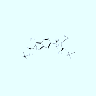 CC(C)(C)OC(=O)N(C1CC1)S(=O)(=O)c1ccc2c(O)n(C(=O)OC(C)(C)C)cc2c1